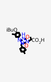 Cc1ccc(Cn2c(=O)n(C[C@H](C)C(=O)O)c(=O)[nH]/c2=N\c2ccc(OCC(C)C)c(C)c2)cc1